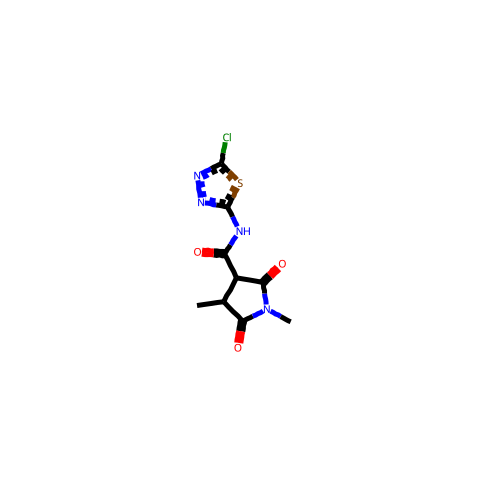 CC1C(=O)N(C)C(=O)C1C(=O)Nc1nnc(Cl)s1